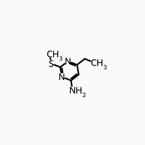 CCc1cc(N)nc(SC)n1